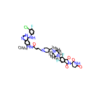 [2H]C1([2H])N(CC2CCN(C/C=C/C(=O)Nc3cc4c(Nc5ccc(F)c(Cl)c5)ncnc4cc3OC)CC2)C([2H])([2H])C([2H])([2H])N(c2c(F)cc3c(c2F)C(=O)N(C2CCC(=O)NC2=O)C3=O)C1([2H])[2H]